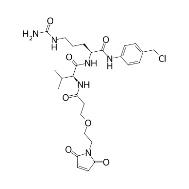 CC(C)[C@H](NC(=O)CCOCCN1C(=O)C=CC1=O)C(=O)N[C@@H](CCCNC(N)=O)C(=O)Nc1ccc(CCl)cc1